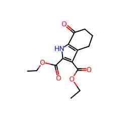 CCOC(=O)c1[nH]c2c(c1C(=O)OCC)CCCC2=O